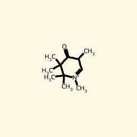 CC1C=[N+](C)C(C)(C)C(C)(C)C1=O